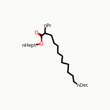 CCCCCCCCCCCCCCCCCCCCC(CCC)C(=O)OCCCCCCC